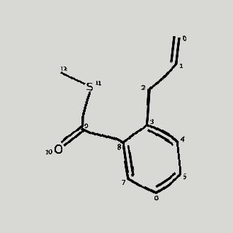 C=CCc1ccccc1C(=O)SC